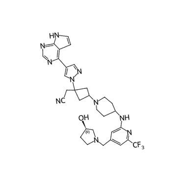 N#CCC1(n2cc(-c3ncnc4[nH]ccc34)cn2)CC(N2CCC(Nc3cc(CN4CC[C@@H](O)C4)cc(C(F)(F)F)n3)CC2)C1